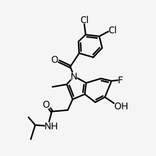 Cc1c(CC(=O)NC(C)C)c2cc(O)c(F)cc2n1C(=O)c1ccc(Cl)c(Cl)c1